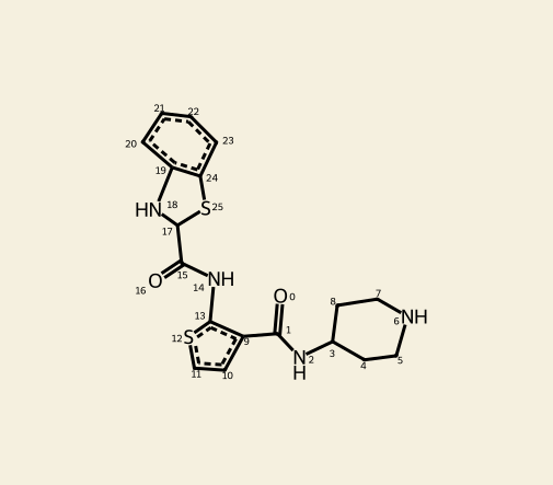 O=C(NC1CCNCC1)c1ccsc1NC(=O)C1Nc2ccccc2S1